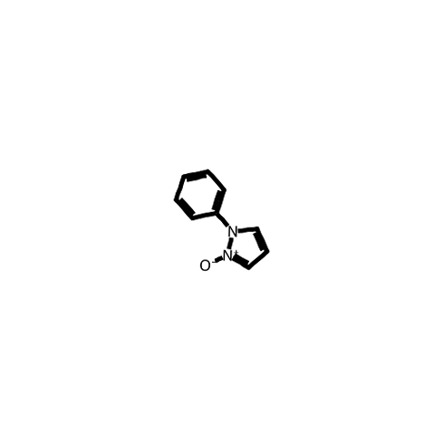 [O-][n+]1cccn1-c1ccccc1